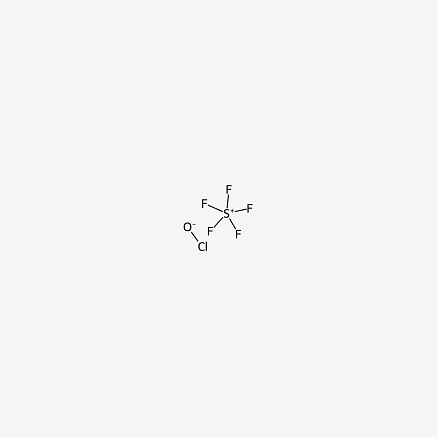 F[S+](F)(F)(F)F.[O-]Cl